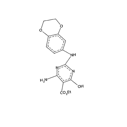 CCOC(=O)c1c(N)nc(Nc2ccc3c(c2)OCCO3)nc1O